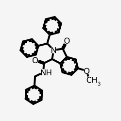 COc1ccc2c(c1)C(=O)N(C(c1ccccc1)c1ccccc1)C2C(=O)NCc1ccccc1